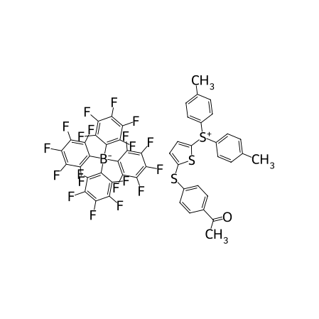 CC(=O)c1ccc(Sc2ccc([S+](c3ccc(C)cc3)c3ccc(C)cc3)s2)cc1.Fc1c(F)c(F)c([B-](c2c(F)c(F)c(F)c(F)c2F)(c2c(F)c(F)c(F)c(F)c2F)c2c(F)c(F)c(F)c(F)c2F)c(F)c1F